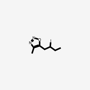 CCC(I)Cc1onnc1C